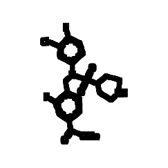 COC(=O)c1ccc(CN(c2ccc(F)c(Cl)c2)S(=O)(=O)C2CCNCC2)c(F)c1